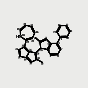 CC1=Cc2c(cccc2-c2ccccc2)[C]1C1=C(C)C=C2C=CC(C3=CC=CC=CN3)=C21